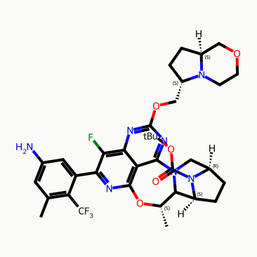 Cc1cc(N)cc(-c2nc3c4c(nc(OC[C@@H]5CC[C@H]6COCCN65)nc4c2F)N2C[C@H]4CC[C@@H](C2[C@H](C)O3)N4C(=O)OC(C)(C)C)c1C(F)(F)F